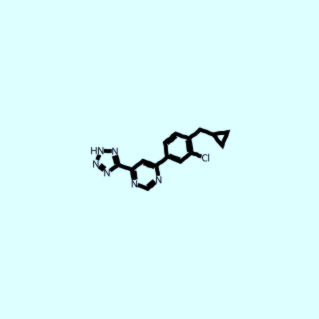 Clc1cc(-c2cc(-c3nn[nH]n3)ncn2)ccc1CC1CC1